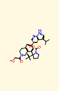 COCC(=O)N1CCc2cc(-c3cnc4[nH]cc(C(C)C)c4c3)cc(C3(C(C)(C)C)CCCN3C(=O)O)c2C1